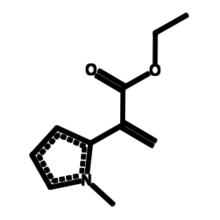 C=C(C(=O)OCC)c1cccn1C